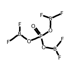 O=P(OB(F)F)(OB(F)F)OB(F)F